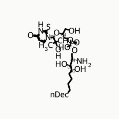 CCCCCCCCCCCCCC[C@@H](O)[C@@H](O)[C@@H](N)COP(=O)(O)OC[C@H](CO)O[C@@H](n1ccc(=O)[nH]c1=S)C(C)(C)O